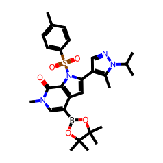 Cc1ccc(S(=O)(=O)n2c(-c3cnn(C(C)C)c3C)cc3c(B4OC(C)(C)C(C)(C)O4)cn(C)c(=O)c32)cc1